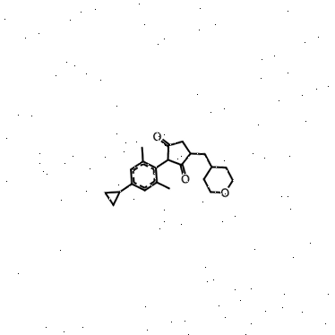 Cc1cc(C2CC2)cc(C)c1C1C(=O)CC(CC2CCOCC2)C1=O